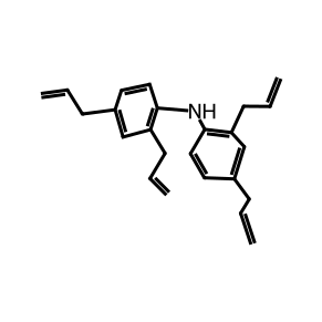 C=CCc1ccc(Nc2ccc(CC=C)cc2CC=C)c(CC=C)c1